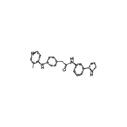 Cc1cnccc1Nc1ccc(CC(=O)Nc2cccc(-c3ccc[nH]3)c2)cc1